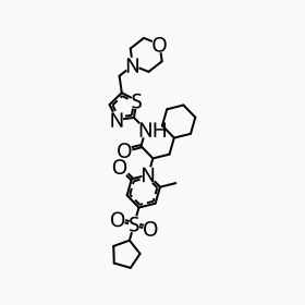 Cc1cc(S(=O)(=O)C2CCCC2)cc(=O)n1C(CC1CCCCC1)C(=O)Nc1ncc(CN2CCOCC2)s1